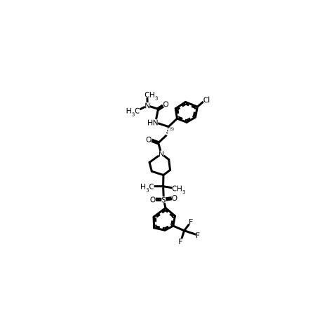 CN(C)C(=O)N[C@@H](CC(=O)N1CCC(C(C)(C)S(=O)(=O)c2cccc(C(F)(F)F)c2)CC1)c1ccc(Cl)cc1